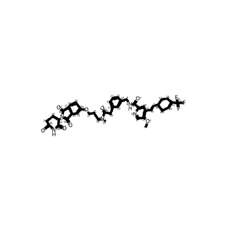 COc1cnc(C(=O)NCc2cccc(CC(=O)N(C)CCCOc3ccc4c(c3)C(=O)N(C3CCC(=O)NC3=O)C4=O)c2)cc1C=CC1CCC(C(F)(F)F)CC1